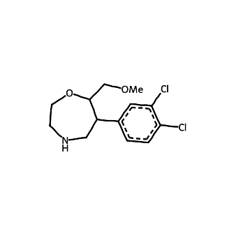 COCC1OCCNCC1c1ccc(Cl)c(Cl)c1